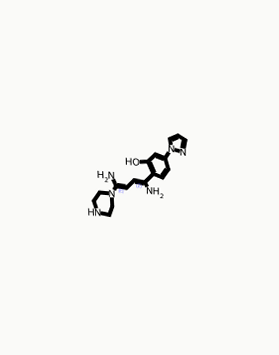 N/C(=C\C=C(/N)N1CCNCC1)c1ccc(-n2cccn2)cc1O